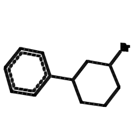 BrC1CCCC(c2ccccc2)C1